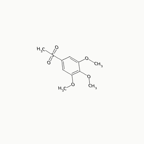 COc1cc(S(C)(=O)=O)cc(OC)c1OC